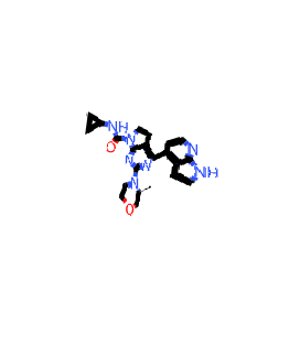 C[C@@H]1COCCN1c1nc(-c2ccnc3[nH]ccc23)c2c(n1)N(C(=O)NC1CC1)CC2